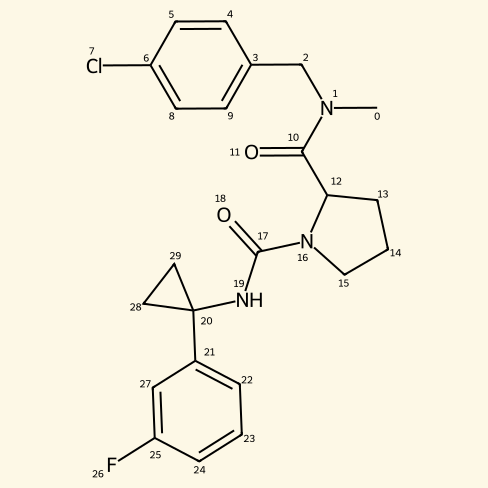 CN(Cc1ccc(Cl)cc1)C(=O)C1CCCN1C(=O)NC1(c2cccc(F)c2)CC1